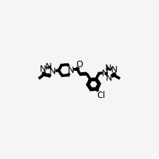 Cc1cn(C2CCN(C(=O)C=Cc3ccc(Cl)cc3Cn3nnc(C)n3)CC2)nn1